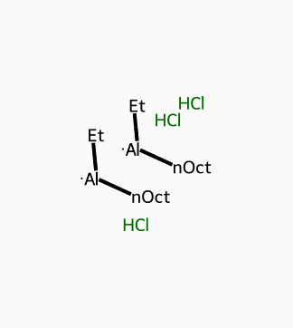 CCCCCCC[CH2][Al][CH2]C.CCCCCCC[CH2][Al][CH2]C.Cl.Cl.Cl